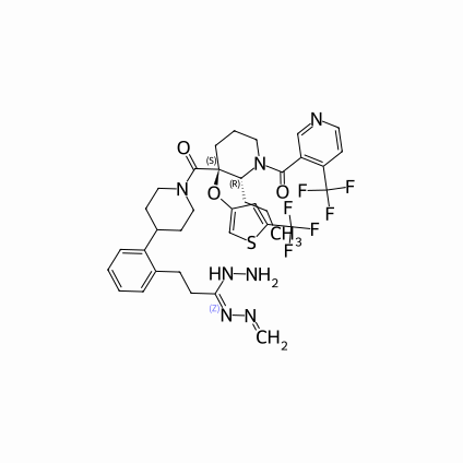 C=N/N=C(/CCc1ccccc1C1CCN(C(=O)[C@]2(Oc3csc(C(F)(F)F)c3)CCCN(C(=O)c3cnccc3C(F)(F)F)[C@@H]2CCC)CC1)NN